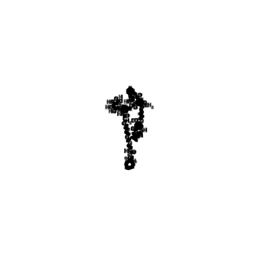 COc1cc2c(cc1OCCCCCOc1cc3c(cc1OC)C(=O)N1Cc4ccccc4C[C@H]1[C@H](O)N3C(=O)OCc1ccc(O[C@@H]3O[C@H](C(=O)O)[C@@H](O)[C@H](O)[C@H]3O)c(NC(=O)CCOCCOCCOCCOCCNC(=O)OCC3[C@H]4CCC#CCC[C@@H]34)c1)NC[C@@H]1CC3(CC3)CN1C2=O